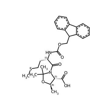 CSCC[C@H](NC(=O)OCC1c2ccccc2-c2ccccc21)C(=O)N1[C@H](C(=O)O)[C@@H](C)OC1(C)C